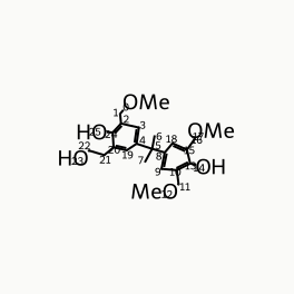 COCc1cc(C(C)(C)c2cc(COC)c(O)c(COC)c2)cc(CCO)c1O